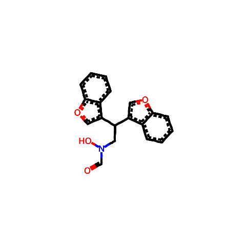 O=CN(O)CC(c1coc2ccccc12)c1coc2ccccc12